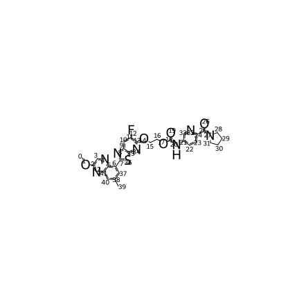 COc1cnc2c(-c3nc4cc(F)c(OCCOC(=O)Nc5ccc(C(=O)N6CCCC6)nc5)nc4s3)cc(C)cc2n1